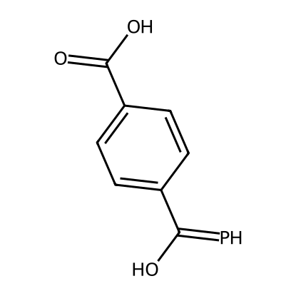 O=C(O)c1ccc(C(O)=P)cc1